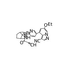 C#CC(=O)NC1(CCC)C2CCC1CN(c1ccc(-c3cc(OCC)cn4ncc(C#N)c34)cn1)C2